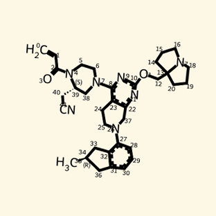 C=CC(=O)N1CCN(c2nc(OCC34CCCN3CCC4)nc3c2CCN(c2cccc4c2C[C@H](C)C4)C3)C[C@@H]1CC#N